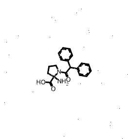 NC1(C(=O)O)CCCN1C(=O)C(c1ccccc1)c1ccccc1